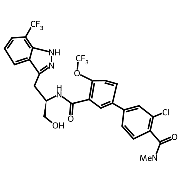 CNC(=O)c1ccc(-c2ccc(OC(F)(F)F)c(C(=O)N[C@@H](CO)Cc3n[nH]c4c(C(F)(F)F)cccc34)c2)cc1Cl